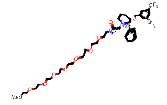 COCCOCCOCCOCCOCCOCCOCCOCCNC(=O)CN1CCC[C@H](OCc2cc(C(F)(F)F)cc(C(F)(F)F)c2)[C@@H]1c1ccccc1